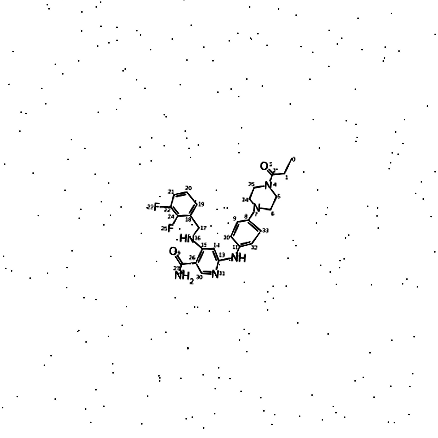 CCC(=O)N1CCN(c2ccc(Nc3cc(NCc4cccc(F)c4F)c(C(N)=O)cn3)cc2)CC1